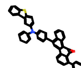 C1=CC(N(c2ccc(-c3cc4c(c5ccccc35)C3OC3c3c(-c5ccccc5)cccc3-4)cc2)c2ccc3sc4ccccc4c3c2)=CCC1